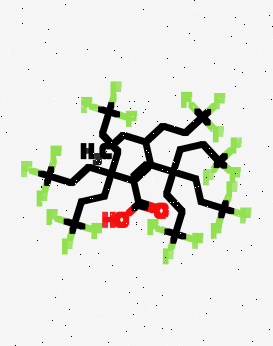 CCC(CCC(F)(F)F)C(=C(C(=O)O)C(CCC(F)(F)F)(CCC(F)(F)F)CCC(F)(F)F)C(CCC(F)(F)F)(CCC(F)(F)F)CCC(F)(F)F